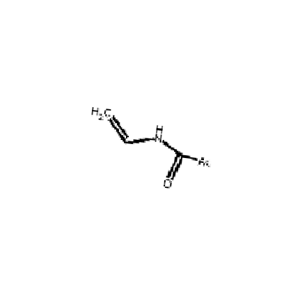 C=CNC(=O)C(C)=O